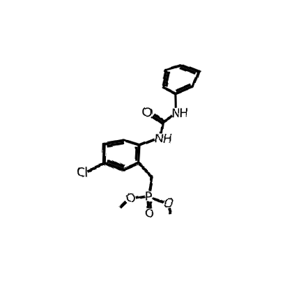 COP(=O)(Cc1cc(Cl)ccc1NC(=O)Nc1ccccc1)OC